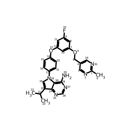 Cc1ncc(COc2cc(F)cc(Oc3ccc(-n4cc(C(C)C)c5ncnc(N)c54)cc3)c2)cn1